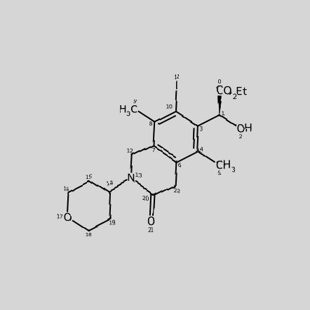 CCOC(=O)[C@@H](O)c1c(C)c2c(c(C)c1I)CN(C1CCOCC1)C(=O)C2